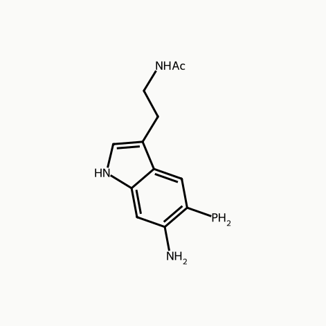 CC(=O)NCCc1c[nH]c2cc(N)c(P)cc12